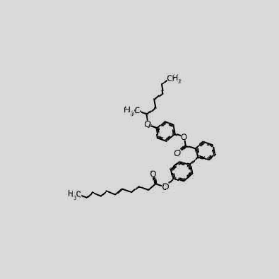 CCCCCCCCCCC(=O)Oc1ccc(-c2ccccc2C(=O)Oc2ccc(OC(C)CCCCC)cc2)cc1